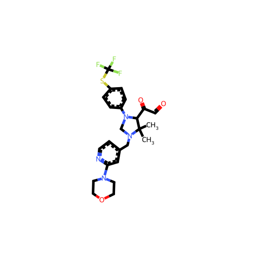 CC1(C)C(C(=O)C=O)N(c2ccc(SC(F)(F)F)cc2)CN1Cc1ccnc(N2CCOCC2)c1